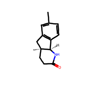 Cc1ccc2c(c1)C[C@]1(C)CCC(=O)N[C@H]21